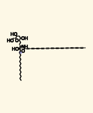 CC#CC#CC#CC#CC#CC#CC#CC#CC#CC#CC#CC#CC(=O)N[C@@H](CCC1OC(CO)C(O)CC1O)[C@H](O)/C=C/CCCCCCCCCCCCC